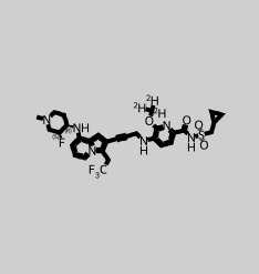 [2H]C([2H])([2H])Oc1nc(C(=O)NS(=O)(=O)CC2CC2)ccc1NCC#Cc1cc2c(N[C@@H]3CCN(C)C[C@@H]3F)cccn2c1CC(F)(F)F